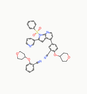 N#Cc1cc(-c2ccnc3c2cc(-c2cccnc2)n3S(=O)(=O)c2ccccc2)ccc1OC1CCOCC1.N#Cc1ccccc1OC1CCOCC1